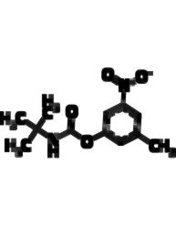 Cc1cc(OC(=O)NC(C)(C)C)cc([N+](=O)[O-])c1